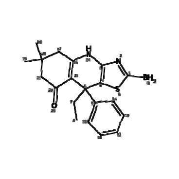 Bc1nc2c(s1)C(CC)(c1ccccc1)C1=C(CC(C)(C)CC1=O)N2